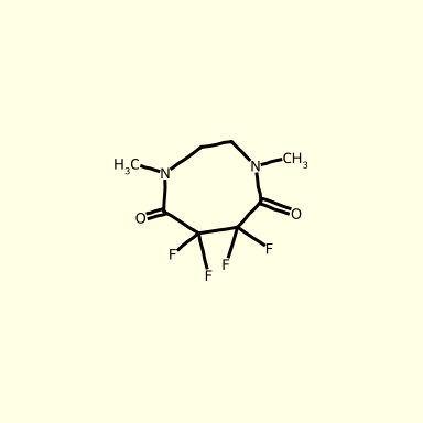 CN1CCN(C)C(=O)C(F)(F)C(F)(F)C1=O